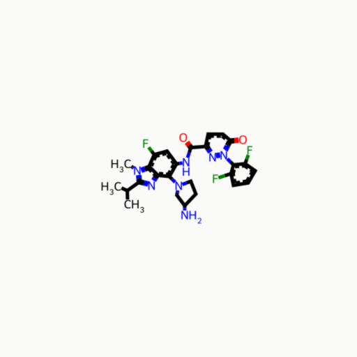 CC(C)c1nc2c(N3CCC(N)C3)c(NC(=O)c3ccc(=O)n(-c4c(F)cccc4F)n3)cc(F)c2n1C